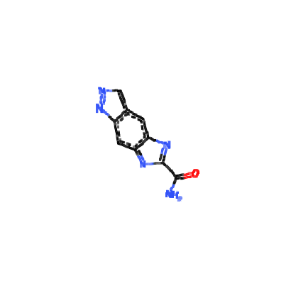 NC(=O)C1=Nc2cc3c(cc2=N1)N=NC=3